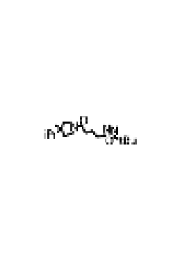 CC(C)C1(C)CCN(C(=O)CCCc2nnc(C(C)(C)C)o2)CC1